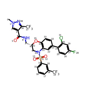 Cn1cc(C(=O)NC[C@H]2CN(S(=O)(=O)c3cccc(C(F)(F)F)c3)c3cc(-c4ccc(F)cc4Cl)ccc3O2)c(C(F)(F)F)n1